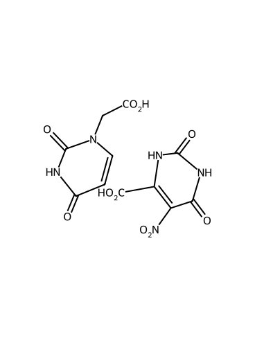 O=C(O)Cn1ccc(=O)[nH]c1=O.O=C(O)c1[nH]c(=O)[nH]c(=O)c1[N+](=O)[O-]